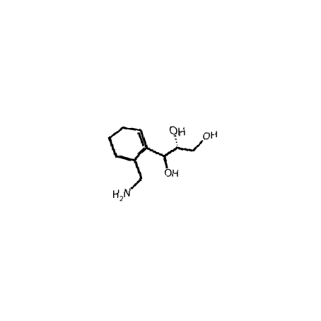 NCC1CCCC=C1C(O)[C@H](O)CO